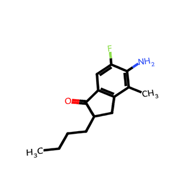 CCCCC1Cc2c(cc(F)c(N)c2C)C1=O